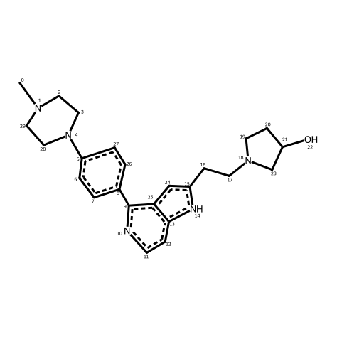 CN1CCN(c2ccc(-c3nccc4[nH]c(CCN5CCC(O)C5)cc34)cc2)CC1